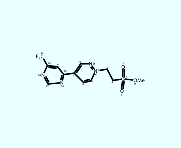 COS(=O)(=O)CC[n+]1ccc(-c2cc(C(F)(F)F)ncn2)cn1